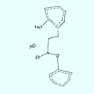 CCN(CCc1ccccc1O)Oc1ccccc1.Cl